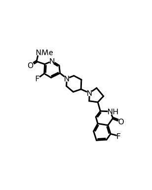 CNC(=O)c1ncc(N2CCC(N3CCC(c4cc5cccc(F)c5c(=O)[nH]4)C3)CC2)cc1F